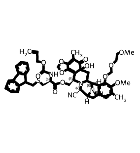 C=CCOC(=O)N[C@H](CSCC1c2ccccc2-c2ccccc21)C(=O)OC[C@H]1C2=C3OCOC3=C(C)C(=O)C2(O)CC2[C@H]3c4c(cc(C)c(OC)c4OCOCCOC)C[C@@H]([C@H](C#N)N21)N3C